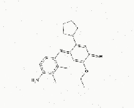 CCOC1=C/C(=N\c2ccc(N)c(C)c2C)C(N2CCCC2)=CC1=N